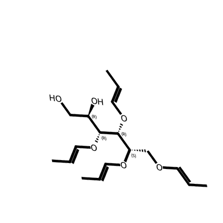 CC=COC[C@H](OC=CC)[C@@H](OC=CC)[C@H](OC=CC)[C@H](O)CO